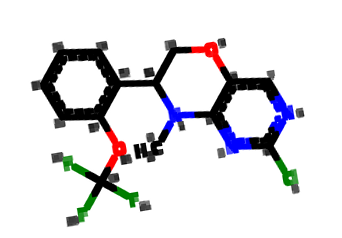 CN1c2nc(Cl)ncc2OCC1c1ccccc1OC(F)(F)F